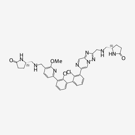 COc1nc(-c2cccc(-c3cccc(-c4cn5nc(CNC[C@@H]6CCC(=O)N6)nc5cn4)c3Cl)c2Cl)ccc1CNC[C@@H]1CCC(=O)N1